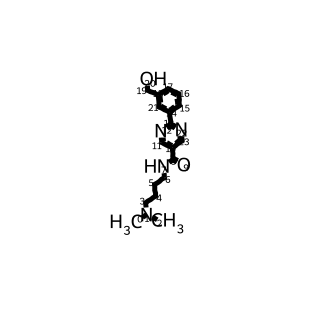 CN(C)CCCCNC(=O)c1cnc(-c2cccc(CO)c2)nc1